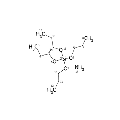 CCCO[Si](OCCC)(OCCC)OCCC.N